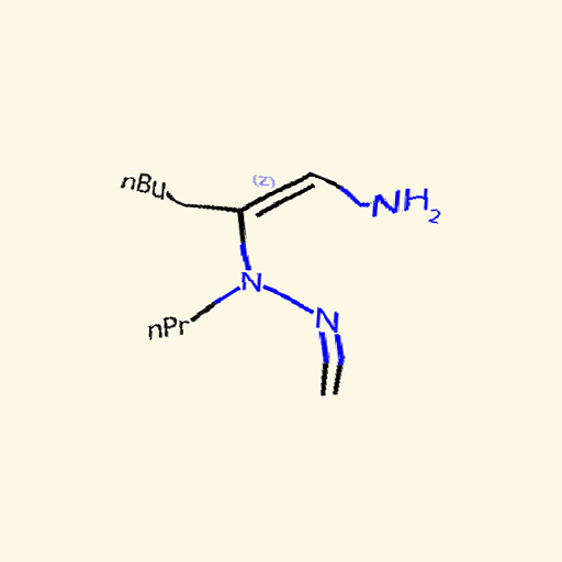 C=NN(CCC)/C(=C\N)CCCC